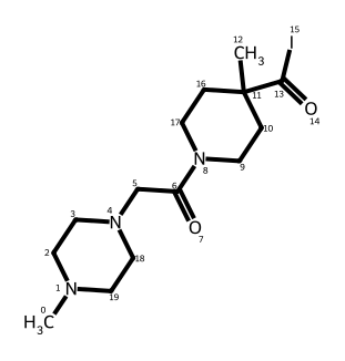 CN1CCN(CC(=O)N2CCC(C)(C(=O)I)CC2)CC1